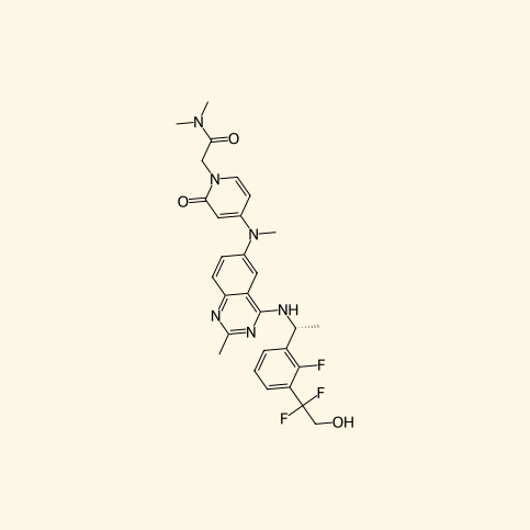 Cc1nc(N[C@H](C)c2cccc(C(F)(F)CO)c2F)c2cc(N(C)c3ccn(CC(=O)N(C)C)c(=O)c3)ccc2n1